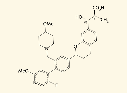 COc1cc(-c2ccc(C3CCc4ccc([C@H](O)[C@H](C)C(=O)O)cc4O3)cc2CN2CCC(OC)CC2)c(F)cn1